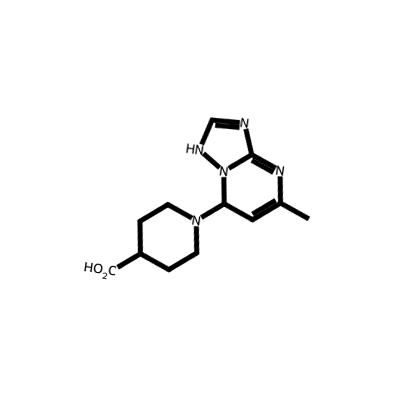 CC1=CC(N2CCC(C(=O)O)CC2)N2NC=NC2=N1